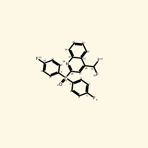 O=P(c1ccc(F)cc1)(c1ccc(F)cc1)c1cc(C(F)F)c2ccccc2n1